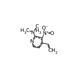 C=Cc1ccnc(N(C)C)c1[N+](=O)[O-]